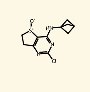 [O-][S@+]1CCc2nc(Cl)nc(NC34CC(C3)C4)c21